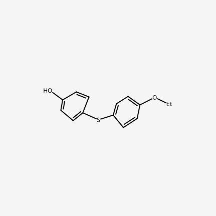 CCOc1ccc(Sc2ccc(O)cc2)cc1